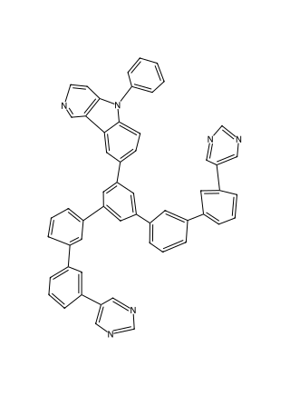 c1ccc(-n2c3ccncc3c3cc(-c4cc(-c5cccc(-c6cccc(-c7cncnc7)c6)c5)cc(-c5cccc(-c6cccc(-c7cncnc7)c6)c5)c4)ccc32)cc1